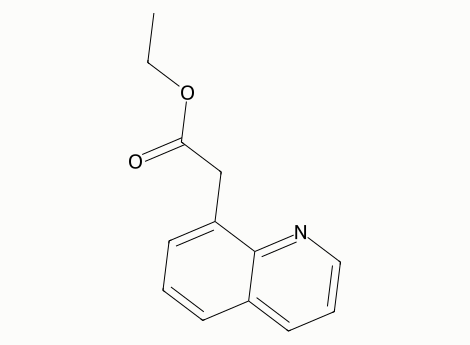 CCOC(=O)Cc1cccc2cccnc12